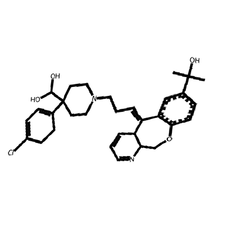 CC(C)(O)c1ccc2c(c1)/C(=C/CCN1CCC(C3=CC=C(Cl)CC3)(C(O)O)CC1)C1C=CC=NC1CO2